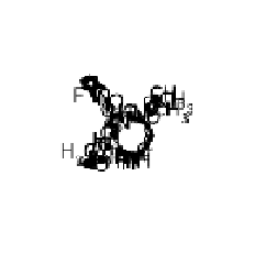 CC(C)(C)OC(=O)N[C@H]1CCCCC[C@H]2C[C@H]2[C@@H]2C[C@@]2(C(=O)NS(=O)(=O)C2(C)CC2)NC(=O)[C@@H]2C[C@@H](OC(=O)N3Cc4cccc(F)c4C3)CN2C1=O